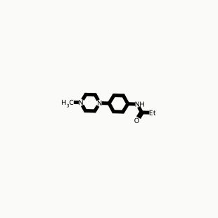 CCC(=O)NC1CCC(N2CCN(C)CC2)CC1